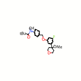 COC1(c2cc(F)cc(OCc3ccc(N(C)C(=O)C(C)(C)C)cc3)c2)CCOCC1